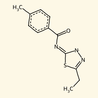 CCC1=N[N]C(=NC(=O)c2ccc(C)cc2)S1